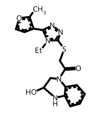 CCn1c(SCC(=O)N2CC(O)Nc3ccccc32)nnc1-c1ccoc1C